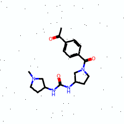 CC(=O)c1ccc(C(=O)N2CCC(NC(=O)NC3CCN(C)C3)C2)cc1